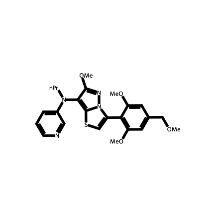 CCCN(c1cccnc1)c1c(OC)nn2c(-c3c(OC)cc(COC)cc3OC)csc12